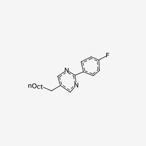 CCCCCCCCCc1cnc(-c2ccc(F)cc2)nc1